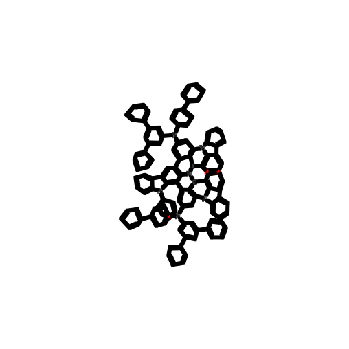 c1ccc(-c2ccc(N(c3cc(-c4ccccc4)cc(-c4ccccc4)c3)c3cc4c5c(c3)-n3c6ccccc6c6cccc(c63)B5N3B5c6c(cc(N(c7ccc(-c8ccccc8)cc7)c7cc(-c8ccccc8)cc(-c8ccccc8)c7)cc6-n6c7ccccc7c7cccc5c76)-c5c3c-4cc3c4ccccc4n(-c4ccccc4)c53)cc2)cc1